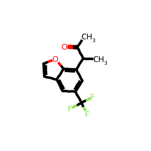 CC(=O)C(C)c1cc(C(F)(F)F)cc2ccoc12